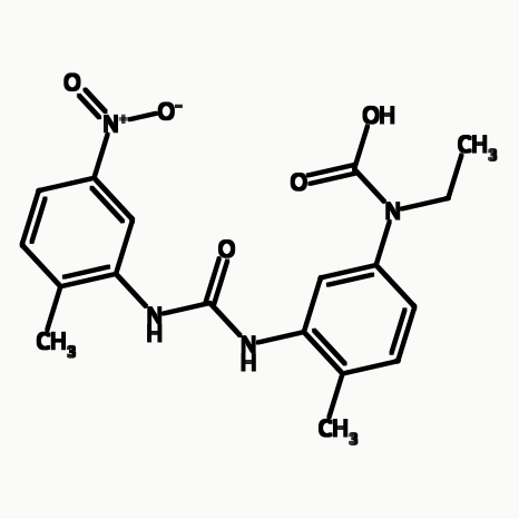 CCN(C(=O)O)c1ccc(C)c(NC(=O)Nc2cc([N+](=O)[O-])ccc2C)c1